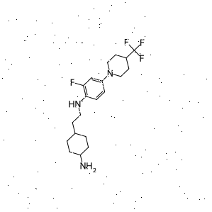 NC1CCC(CCNc2ccc(N3CCC(C(F)(F)F)CC3)cc2F)CC1